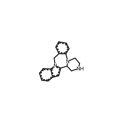 c1ccc2c(c1)Cn1c(cc3ccccc31)C1CNCCN21